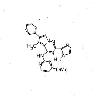 COc1ccnc(Nc2nc(-c3nccn3C)nn3cc(-c4cccnc4)c(C)c23)n1